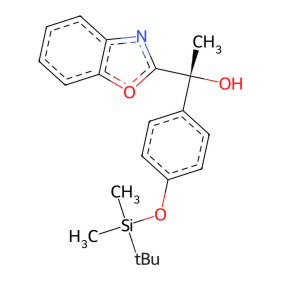 CC(C)(C)[Si](C)(C)Oc1ccc([C@@](C)(O)c2nc3ccccc3o2)cc1